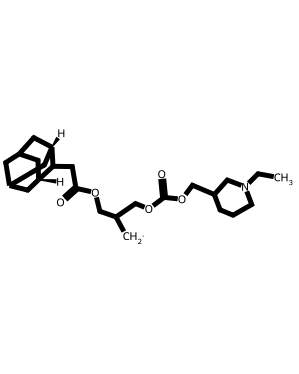 [CH2]C(COC(=O)CC1[C@H]2CC3CC(C2)C[C@@H]1C3)COC(=O)OCC1CCCN(CC)C1